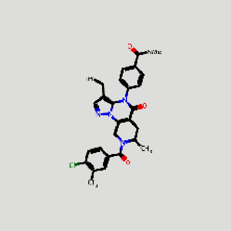 CNC(=O)c1ccc(-n2c(=O)c3c(n4ncc(CC(C)C)c24)CN(C(=O)c2ccc(Cl)c(C(F)(F)F)c2)C(C)C3)cc1